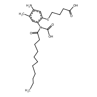 CCCCCCCCCCC(=O)N(C(=O)O)c1cc(C)c(N)cc1SCCCC(=O)O